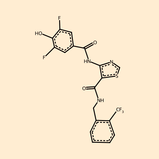 O=C(Nc1ncsc1C(=O)NCc1ccccc1C(F)(F)F)c1cc(F)c(O)c(F)c1